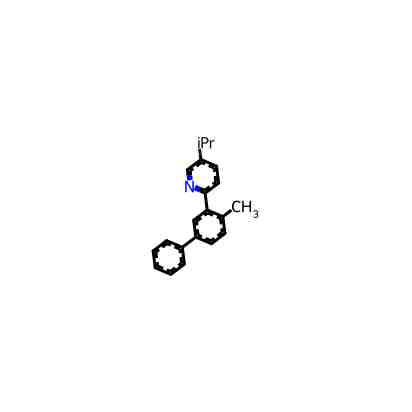 Cc1ccc(-c2ccccc2)cc1-c1ccc(C(C)C)cn1